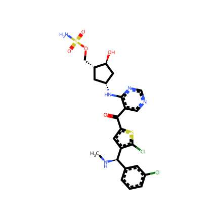 CN[C@H](c1cccc(Cl)c1)c1cc(C(=O)c2cncnc2N[C@@H]2C[C@H](COS(N)(=O)=O)[C@@H](O)C2)sc1Cl